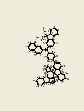 CC1(C)c2ccccc2-c2ccc(N(c3ccc(-c4ccc5c(c4)C4(c6ccccc6-5)c5ccccc5-n5c6ccccc6c6cccc4c65)cc3)c3ccc4ccccc4c3)cc21